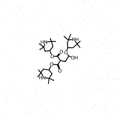 CC1(C)CC(OC(=O)C(CC(O)OC2CC(C)(C)NC(C)(C)C2)C(=O)OC2CC(C)(C)NC(C)(C)C2)CC(C)(C)N1